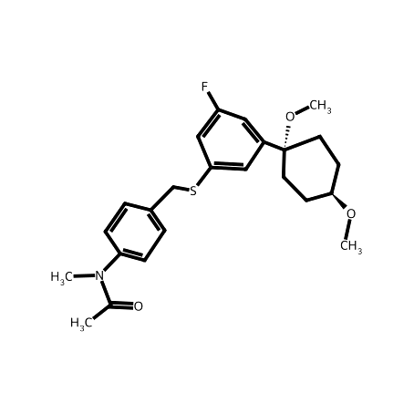 CO[C@H]1CC[C@@](OC)(c2cc(F)cc(SCc3ccc(N(C)C(C)=O)cc3)c2)CC1